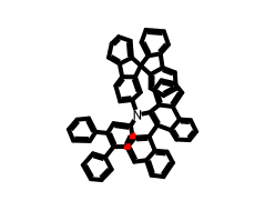 c1ccc(-c2ccc(N(c3ccc4c(c3)C3(c5ccccc5-c5ccccc53)c3ccccc3-4)c3c(-c4cccc5ccccc45)c4ccccc4c4ccccc34)cc2-c2ccccc2)cc1